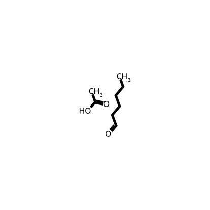 CC(=O)O.CCCCCC=O